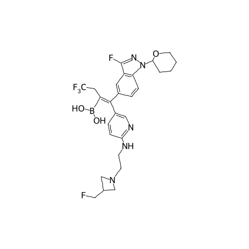 OB(O)C(CC(F)(F)F)=C(c1ccc(NCCN2CC(CF)C2)nc1)c1ccc2c(c1)c(F)nn2C1CCCCO1